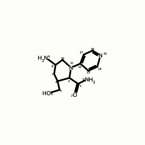 NC(=O)C1C(CO)CC(N)CN1c1[c]cncc1